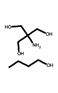 CCCCO.NC(CO)(CO)CO